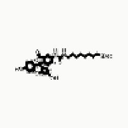 CCCCCCCCCCCCCCCCCCNC(=S)Nc1ccc2c(c1)C(=O)OC21c2ccc(O)cc2Oc2cc(O)ccc21